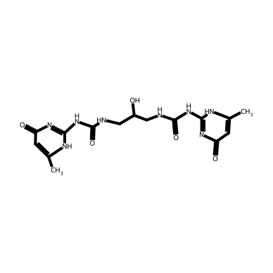 Cc1cc(=O)nc(NC(=O)NCC(O)CNC(=O)Nc2nc(=O)cc(C)[nH]2)[nH]1